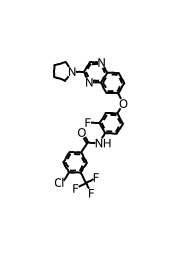 O=C(Nc1ccc(Oc2ccc3ncc(N4CCCC4)nc3c2)cc1F)c1ccc(Cl)c(C(F)(F)F)c1